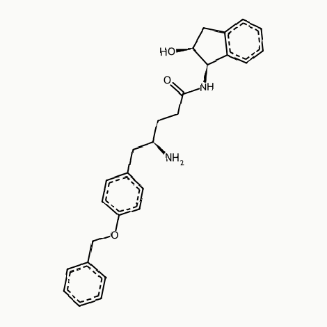 N[C@H](CCC(=O)N[C@@H]1c2ccccc2C[C@@H]1O)Cc1ccc(OCc2ccccc2)cc1